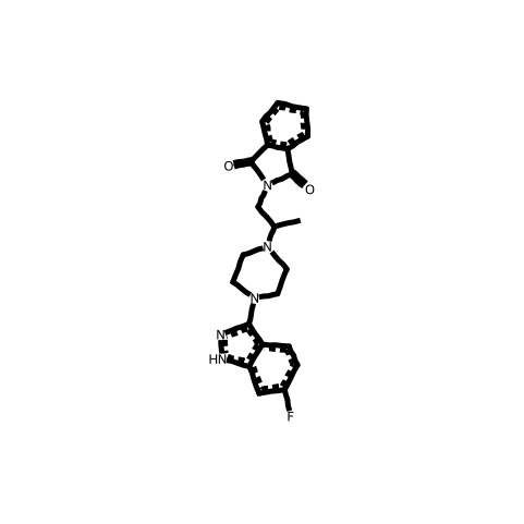 CC(CN1C(=O)c2ccccc2C1=O)N1CCN(c2n[nH]c3cc(F)ccc23)CC1